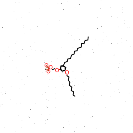 CCCCCCCCCCCCCCCc1cc(OCCCCCCCCCC)cc(OCCOS(C)(=O)=O)c1